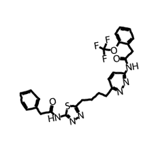 O=C(Cc1ccccc1OC(F)(F)F)Nc1ccc(CCCCc2nnc(NC(=O)Cc3ccccc3)s2)nn1